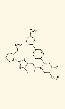 COCC1CCCN1c1nc2ccc(-n3cc(C(=O)O)c(=O)cc3-c3ccc(N4CCC(OC)C4)cc3)cc2s1